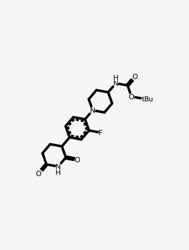 CC(C)(C)OC(=O)NC1CCN(c2ccc(C3CCC(=O)NC3=O)cc2F)CC1